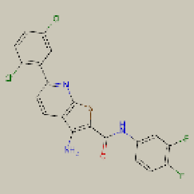 Nc1c(C(=O)Nc2ccc(F)c(F)c2)sc2nc(-c3cc(Cl)ccc3Cl)ccc12